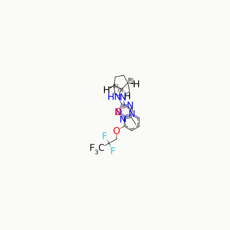 Cc1cc(N2C[C@H]3CC[C@@H](C2)[C@@H]3Nc2nc3c(OCC(F)(F)C(F)(F)F)cccn3n2)on1